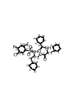 O=C(N[C@H](Cc1ccccc1)C(=O)OC[C@H](Cc1ccccc1)NS(=O)(=O)c1cc(Cl)c(F)cc1F)c1ccccc1